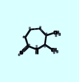 CC1CCCC(=O)NC1C